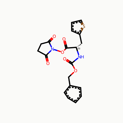 O=C(N[C@@H](Cc1cccs1)C(=O)ON1C(=O)CCC1=O)OCc1ccccc1